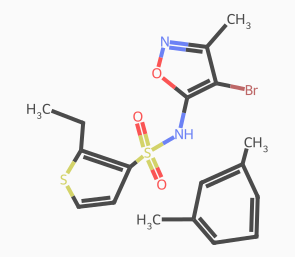 CCc1sccc1S(=O)(=O)Nc1onc(C)c1Br.Cc1cccc(C)c1